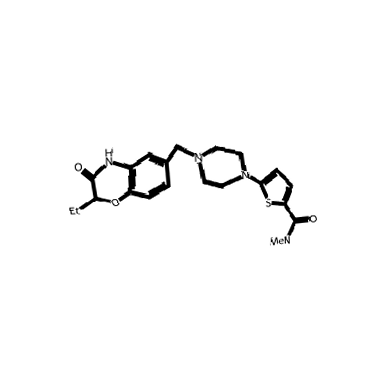 CCC1Oc2ccc(CN3CCN(c4ccc(C(=O)NC)s4)CC3)cc2NC1=O